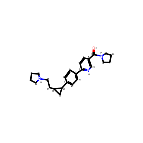 O=C(c1ccc(-c2ccc(C3CC3CCN3CCCC3)cc2)nc1)N1CCCC1